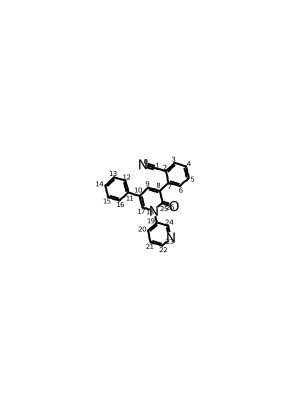 N#Cc1ccccc1-c1cc(-c2ccccc2)cn(-c2cccnc2)c1=O